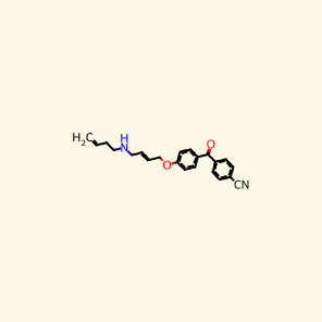 C=CCCNCC=CCOc1ccc(C(=O)c2ccc(C#N)cc2)cc1